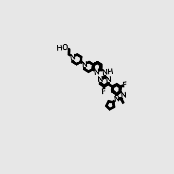 Cc1nc2c(F)cc(-c3nc(Nc4ccc5c(n4)CCN(C4CCN(CCO)CC4)C5)ncc3F)cc2n1C1CCCC1